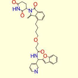 C=C1c2c(CCCCOCCC(=O)NC(c3cccnc3)c3cc4ccccc4o3)cccc2C(=O)N1C1CCC(=O)NC1=O